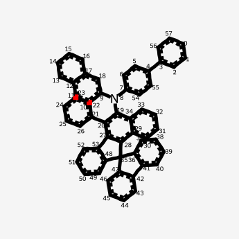 c1ccc(-c2ccc(N(c3ccc4ccccc4c3)c3c(-c4ccccc4)c4c(c5ccccc35)C3(c5ccccc5-c5ccccc53)c3ccccc3-4)cc2)cc1